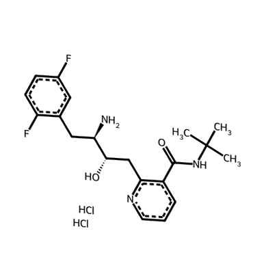 CC(C)(C)NC(=O)c1cccnc1C[C@H](O)[C@H](N)Cc1cc(F)ccc1F.Cl.Cl